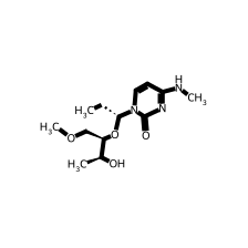 CC[C@@H](O[C@H](COC)[C@H](C)O)n1ccc(NC)nc1=O